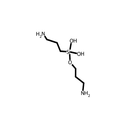 NCCCO[Si](O)(O)CCCN